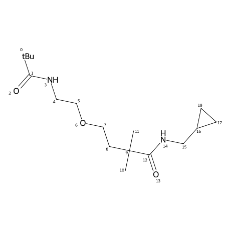 CC(C)(C)C(=O)NCCOCCC(C)(C)C(=O)NCC1CC1